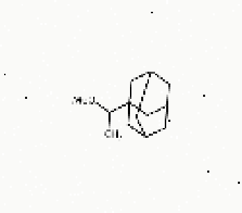 COC(C)C12CC3CC(CC(C3)C1)C2